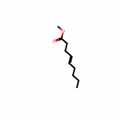 [CH2]CCC/C=C/CCC(=O)OC